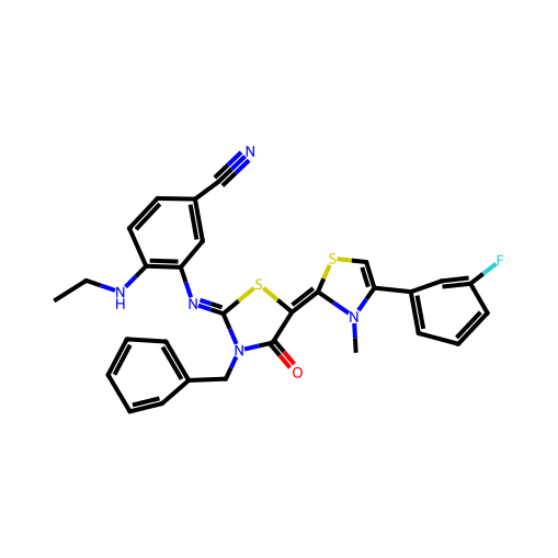 CCNc1ccc(C#N)cc1N=C1SC(=C2SC=C(c3cccc(F)c3)N2C)C(=O)N1Cc1ccccc1